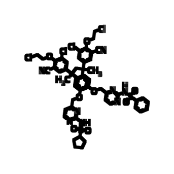 CC(CC(C)(c1ccc(OCc2ccnc(NS(=O)(=O)C3CCCC3)n2)cc1)c1cc(Cl)c(OCCCl)c(C#N)c1)(c1ccc(OCc2ccnc(NS(=O)(=O)c3ccccc3)n2)cc1)c1cc(Cl)c(OCCCl)c(C#N)c1